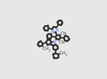 Cc1ccccc1-c1ccc2c(c1)c1cc(-c3ccccc3C)ccc1n2-c1c(C#N)c(-c2ccccc2)c(C#N)c(-c2nc(-c3ccccc3)cc(-c3ccccc3)n2)c1-c1ccccc1